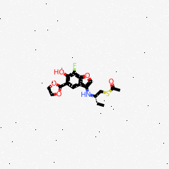 CC[C@@H](CSC(C)=O)Nc1coc2c(F)c(O)c(C3OCCO3)cc12